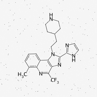 Cc1cccc2c1nc(C(F)(F)F)c1nc(-c3ncc[nH]3)n(CCC3CCNCC3)c12